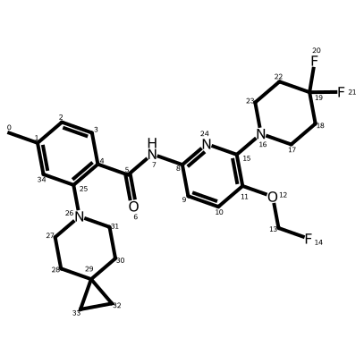 Cc1ccc(C(=O)Nc2ccc(OCF)c(N3CCC(F)(F)CC3)n2)c(N2CCC3(CC2)CC3)c1